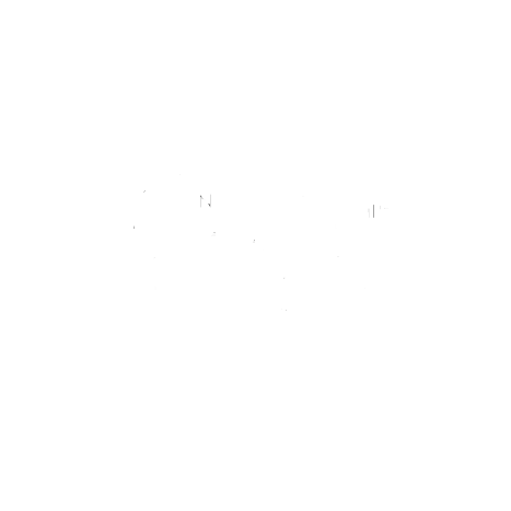 CC(C)c1ccc(-c2cccc3cccnc23)c2ccccc12